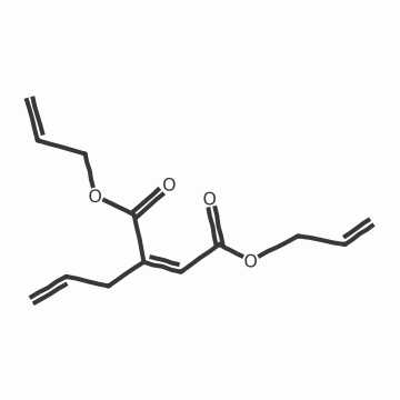 C=CCOC(=O)C=C(CC=C)C(=O)OCC=C